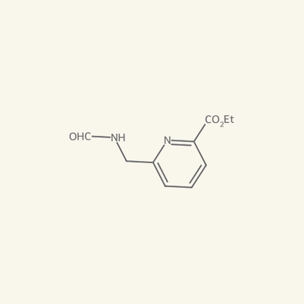 CCOC(=O)c1cccc(CNC=O)n1